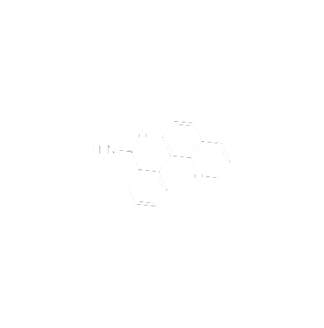 NC(=O)c1ccccc1-c1cccc2c1OCC=C2